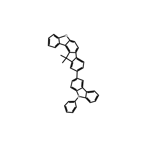 CC1(C)c2cc(-c3ccc4c(c3)c3ccccc3n4-c3ccccc3)ccc2-c2ccc3oc4ccccc4c3c21